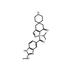 CNc1nc2cc(C(=O)[N+]3(C(C)C)N=CC4=C3C(=O)CC3(CCNCC3)C4)ccc2[nH]1